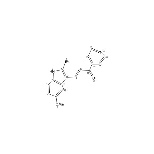 COc1ccc2[nH]c(C(C)C)c(/C=C/C(=O)c3ccncc3)c2c1